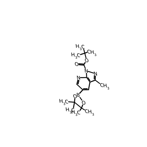 Cc1nn(C(=O)OC(C)(C)C)c2ncc(B3OC(C)(C)C(C)(C)O3)cc12